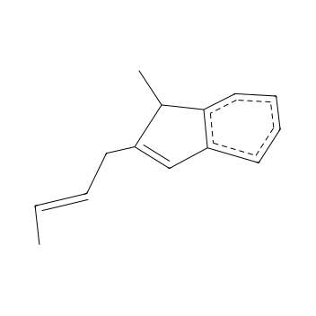 C/C=C/CC1=Cc2ccccc2C1C